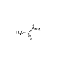 CS(#P)=[PH]=S